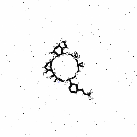 C/C1=C/NC(c2cccc(CCC(=O)O)c2)CCCC(C)(C)CS(=O)(=O)CCc2c(c(F)cc3[nH]ccc23)Oc2ccc(F)c(c2)C1=N